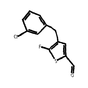 O=Cc1cc(Cc2cccc(Cl)c2)c(F)s1